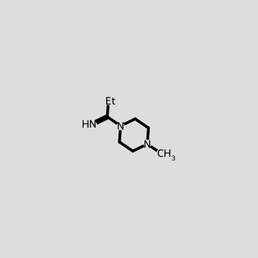 CCC(=N)N1CCN(C)CC1